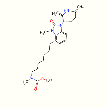 C=C1CCC(n2c(=O)n(C)c3c(CCCCCCCN(C)C(=O)OC(C)(C)C)cccc32)C(=C)N1